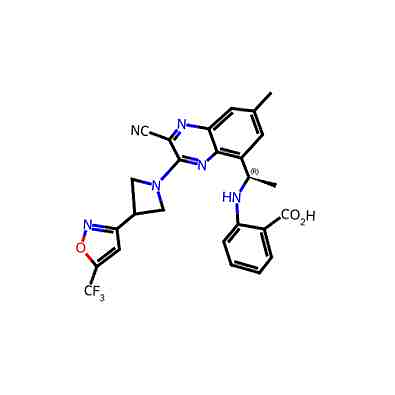 Cc1cc([C@@H](C)Nc2ccccc2C(=O)O)c2nc(N3CC(c4cc(C(F)(F)F)on4)C3)c(C#N)nc2c1